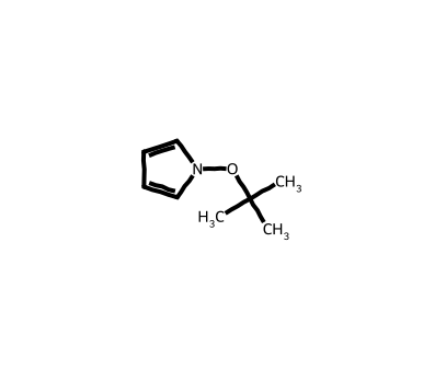 CC(C)(C)On1cccc1